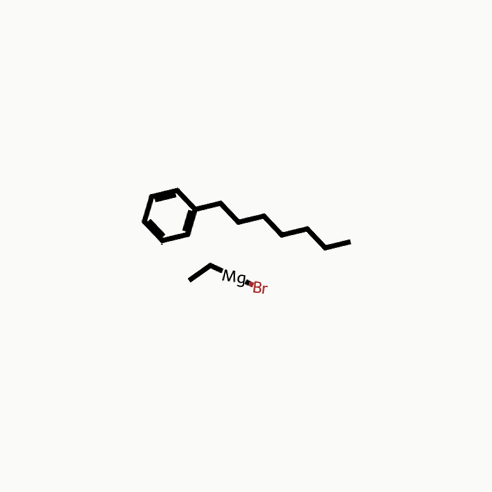 CCCCCCCc1c[c]ccc1.C[CH2][Mg][Br]